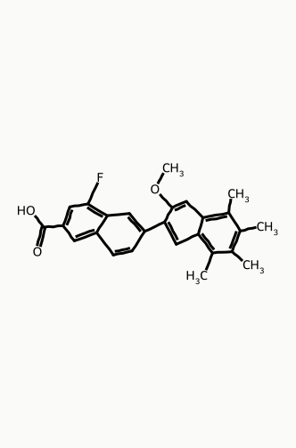 COc1cc2c(C)c(C)c(C)c(C)c2cc1-c1ccc2cc(C(=O)O)cc(F)c2c1